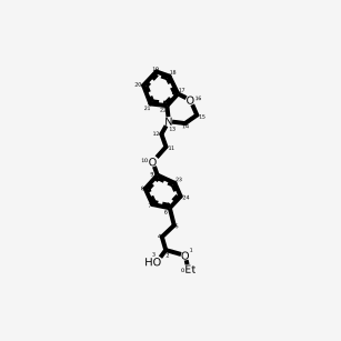 CCOC(O)CCc1ccc(OCCN2CCOc3ccccc32)cc1